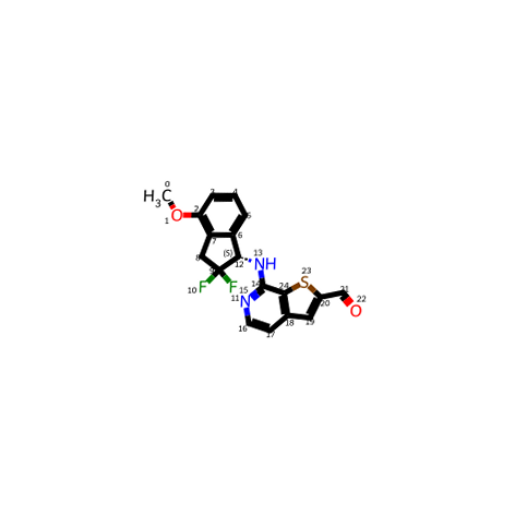 COc1cccc2c1CC(F)(F)[C@H]2Nc1nccc2cc(C=O)sc12